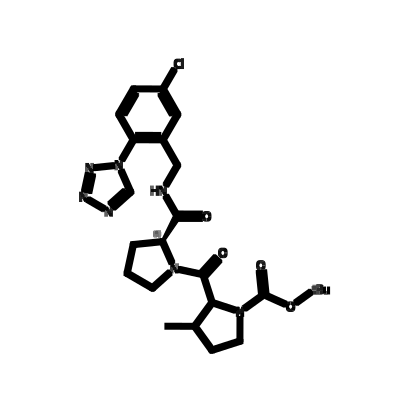 CC1CCN(C(=O)OC(C)(C)C)C1C(=O)N1CCC[C@H]1C(=O)NCc1cc(Cl)ccc1-n1cnnn1